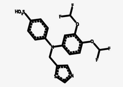 O=S(=O)(O)c1ccc(N(Cc2cncs2)c2ccc(OC(F)F)c(OC(F)F)c2)cc1